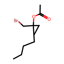 CCCCC1CC1(CBr)OC(C)=O